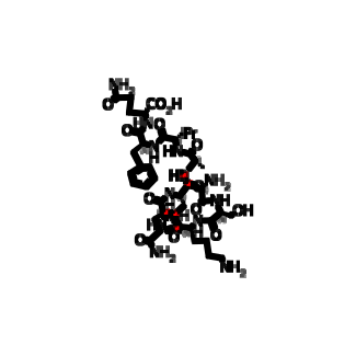 CC(C)[C@H](NC(=O)[C@H](C)NC(=O)[C@H](Cc1c[nH]cn1)NC(=O)[C@H](CCC(N)=O)NC(=O)[C@H](CCCCN)NC(=O)[C@H](CO)NC(=O)[C@@H](N)CS)C(=O)N[C@@H](Cc1ccccc1)C(=O)N[C@@H](CCC(N)=O)C(=O)O